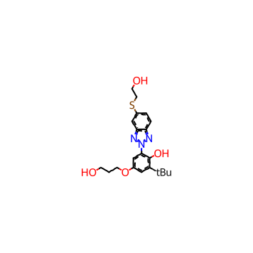 CC(C)(C)c1cc(OCCCO)cc(-n2nc3ccc(SCCO)cc3n2)c1O